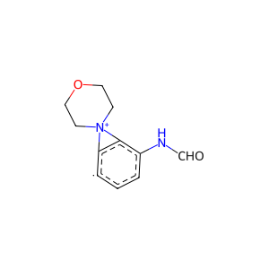 O=CNc1cc[c]c2c1[N+]21CCOCC1